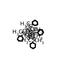 C[Si](C)(OP(=O)(O[Si](C)(C)c1ccccc1)OP(=O)(O[Si](C)(C)c1ccccc1)O[Si](C)(C)c1ccccc1)c1ccccc1